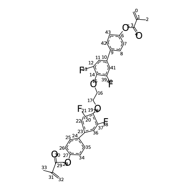 C=C(C)C(=O)Oc1ccc(-c2cc(F)c(OCCOc3c(F)cc(-c4ccc(OC(=O)C(=C)C)cc4)cc3F)c(F)c2)cc1